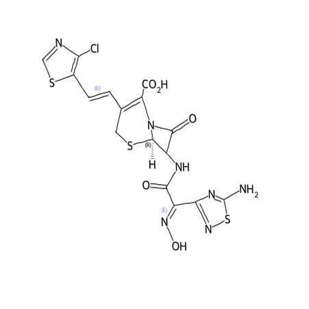 Nc1nc(/C(=N\O)C(=O)NC2C(=O)N3C(C(=O)O)=C(/C=C/c4scnc4Cl)CS[C@H]23)ns1